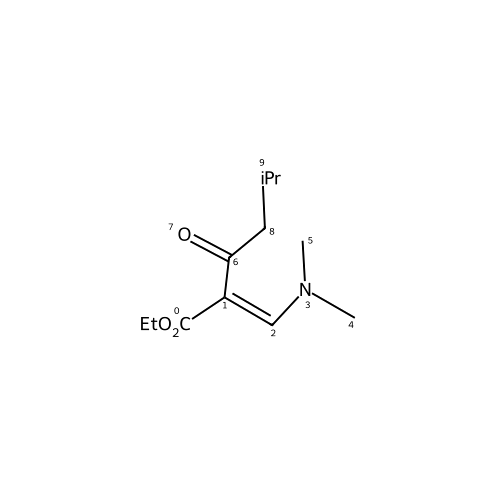 CCOC(=O)C(=CN(C)C)C(=O)CC(C)C